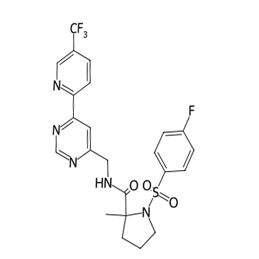 CC1(C(=O)NCc2cc(-c3ccc(C(F)(F)F)cn3)ncn2)CCCN1S(=O)(=O)c1ccc(F)cc1